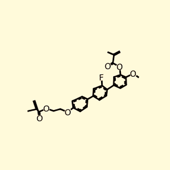 C=C(C)C(=O)OCCOc1ccc(-c2ccc(-c3ccc(OC)c(OC(=O)C(=C)C)c3)c(F)c2)cc1